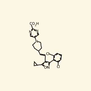 O=C(O)c1ncc(N2CCC(C=Cc3c(-c4c(Cl)cccc4Cl)noc3C3CC3)CC2)cn1